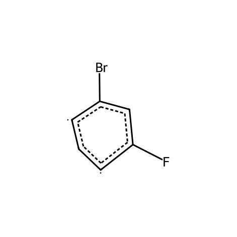 Fc1[c]c[c]c(Br)c1